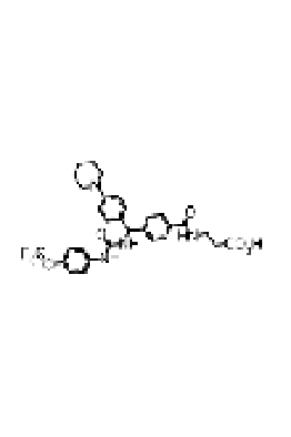 O=C(O)CCNC(=O)c1ccc(C(NC(=O)Nc2ccc(OC(F)(F)F)cc2)c2ccc(N3CCCCC3)cc2)cc1